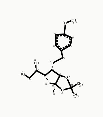 COc1ccc(CO[C@@H]2C3OC(C)(C)O[C@H]3O[C@@H]2[C@H](O)CO)cc1